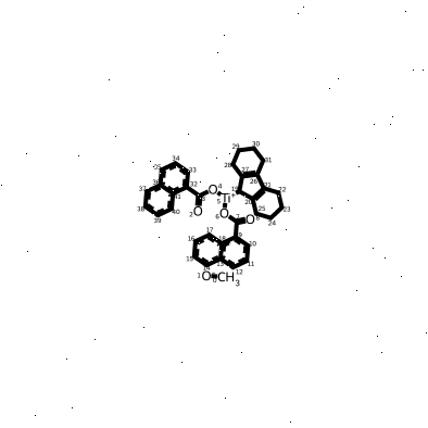 C[O-].O=C([O][Ti+]([O]C(=O)c1cccc2ccccc12)[CH]1C2=C(CCCC2)C2=C1CCCC2)c1cccc2ccccc12